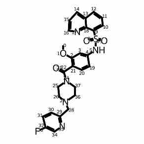 COc1cc(NS(=O)(=O)c2cccc3cccnc23)ccc1C(=O)N1CCN(Cc2ccc(F)cn2)CC1